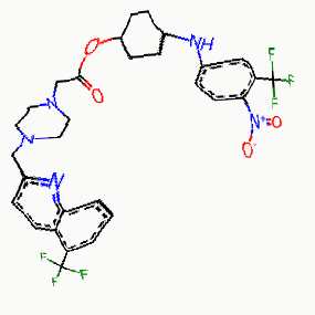 O=C(CN1CCN(Cc2ccc3c(C(F)(F)F)cccc3n2)CC1)OC1CCC(Nc2ccc([N+](=O)[O-])c(C(F)(F)F)c2)CC1